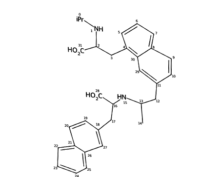 CC(C)NC(Cc1cccc2ccc(CC(C)NC(Cc3ccc4ccccc4c3)C(=O)O)cc12)C(=O)O